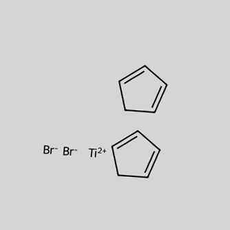 C1=CCC=C1.C1=CCC=C1.[Br-].[Br-].[Ti+2]